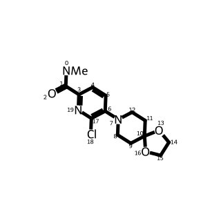 CNC(=O)c1ccc(N2CCC3(CC2)OCCO3)c(Cl)n1